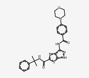 CC(C)(NC(=O)c1nc2c(NC(=O)c3ccc(N4CCOCC4)cc3)n[nH]c2s1)c1ccccc1